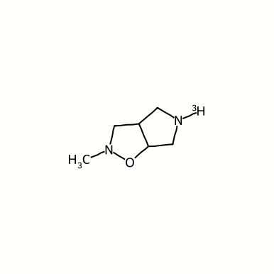 [3H]N1CC2CN(C)OC2C1